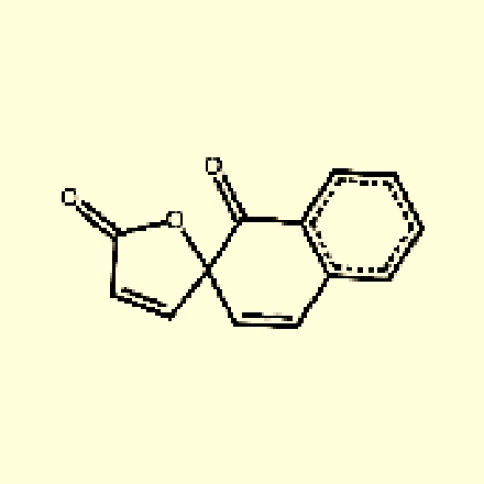 O=C1C=CC2(C=Cc3ccccc3C2=O)O1